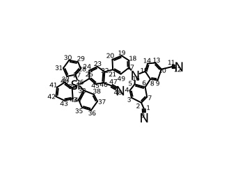 N#Cc1ccc2c(c1)c1cc(C#N)ccc1n2-c1cccc(-c2ccc([Si](c3ccccc3)(c3ccccc3)c3ccccc3)cc2C#N)c1